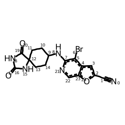 N#Cc1cc2c(Br)c(NC3CCC4(CC3)NC(=O)NC4=O)ncc2o1